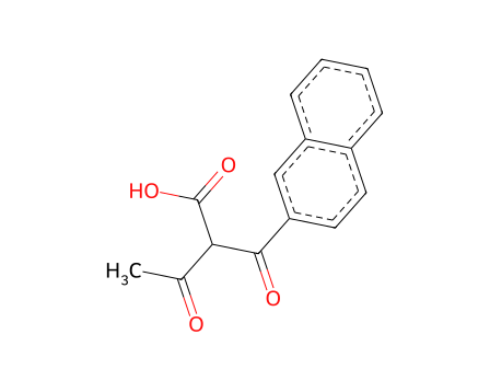 CC(=O)C(C(=O)O)C(=O)c1ccc2ccccc2c1